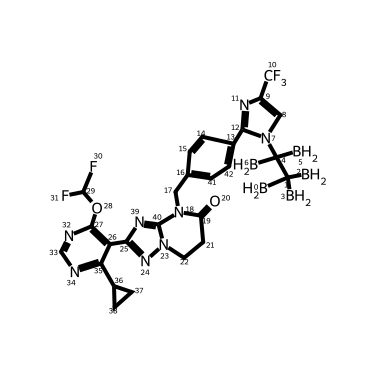 BC(B)(B)C(B)(B)n1cc(C(F)(F)F)nc1-c1ccc(CN2C(=O)CCn3nc(-c4c(OC(F)F)ncnc4C4CC4)nc32)cc1